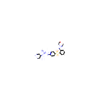 C/N=C(\NCc1ccc(S(=O)(=O)c2ccccc2CN2CCOCC2)cc1)Nc1ccncc1